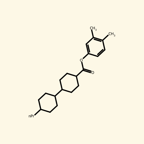 CCCC1CCC(C2CCC(C(=O)Oc3ccc(C)c(C)c3)CC2)CC1